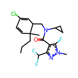 CCCC1(C)C=CC(Cl)=CC1CN(C(=O)c1c(C(F)F)nn(C)c1F)C1CC1